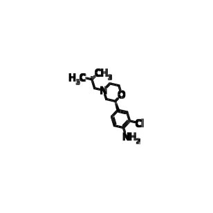 C[C](C)CN1CCO[C@@H](c2ccc(N)c(Cl)c2)C1